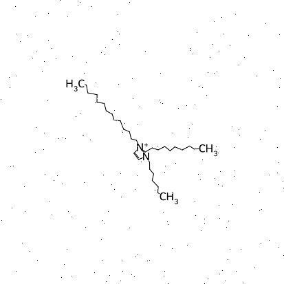 CCCCCCCCCCCCCC[n+]1ccn(CCCCCCC)c1CCCCCCCCC